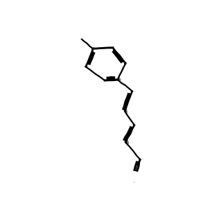 Cc1ccc(C=CC=CC=O)cc1